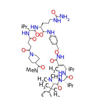 CNC(=O)C1CCN(C(=O)CCC(=O)N[C@H](C(=O)N[C@@H](CCCNC(N)=O)C(=O)Nc2ccc(CONC(=O)/C(C)=C/[C@@H](NC(=O)[C@@H](NC(=O)[C@@H](N(C)C)C(C)(C)c3ccccc3)C(C)C)C(C)C)cc2)C(C)C)CC1